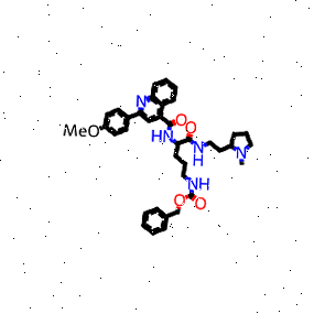 COc1ccc(-c2cc(C(=O)NC(CCCNC(=O)OCc3ccccc3)C(=O)NCCC3CCCN3C)c3ccccc3n2)cc1